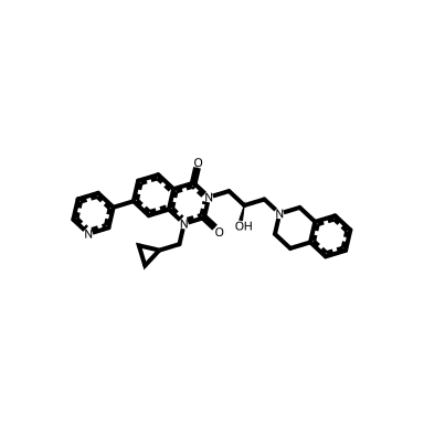 O=c1c2ccc(-c3cccnc3)cc2n(CC2CC2)c(=O)n1C[C@H](O)CN1CCc2ccccc2C1